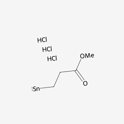 COC(=O)C[CH2][Sn].Cl.Cl.Cl